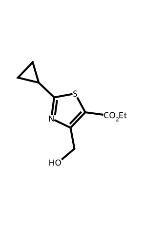 CCOC(=O)c1sc(C2CC2)nc1CO